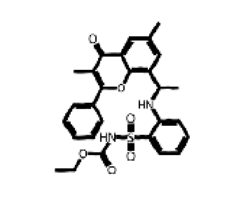 CCOC(=O)NS(=O)(=O)c1ccccc1NC(C)c1cc(C)cc2c(=O)c(C)c(-c3ccccc3)oc12